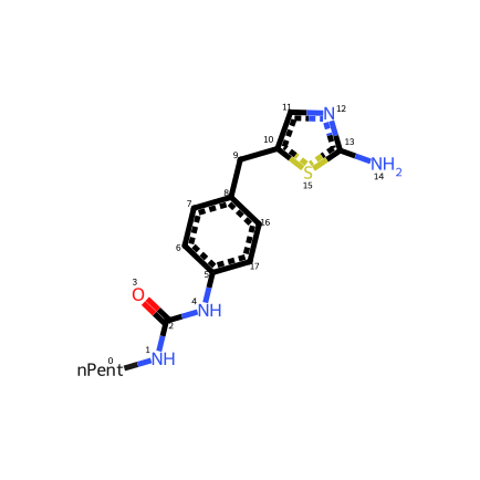 CCCCCNC(=O)Nc1ccc(Cc2cnc(N)s2)cc1